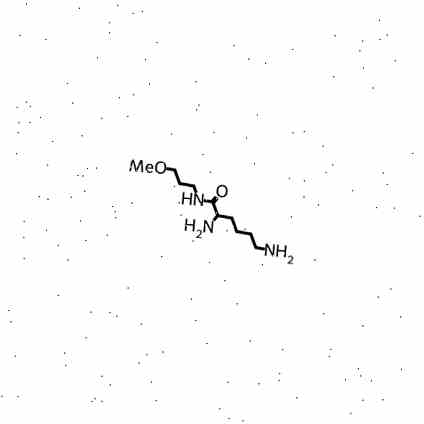 COCCCNC(=O)C(N)CCCCN